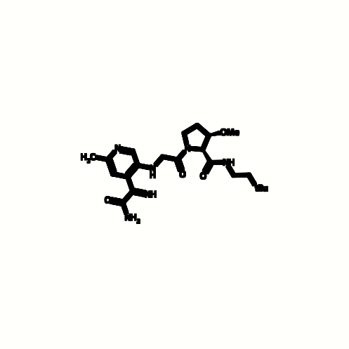 CO[C@@H]1CCN(C(=O)CNc2cnc(C)cc2C(=N)C(N)=O)[C@@H]1C(=O)NCCC(C)(C)C